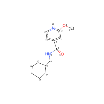 CCOc1cc(C(=O)NCC2CCCCC2)ccn1